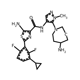 Cn1ncc(NC(=O)c2nc(-c3c(F)ccc(C4CC4)c3F)sc2N)c1N1CCCC(N)CC1